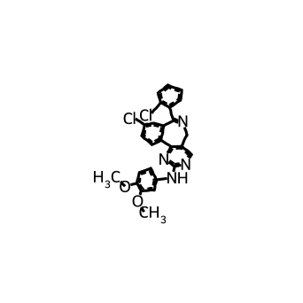 COc1ccc(Nc2ncc3c(n2)-c2ccc(Cl)cc2C(c2ccccc2Cl)=NC3)cc1OC